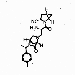 Cc1ccc([C@H](C)N2C(=O)[C@@H]3C[C@H]2CN3C[C@H](N)C(=O)N2[C@H](C#N)C[C@@H]3C[C@@H]32)cc1